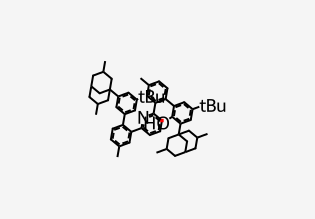 Cc1ccc(-c2cc(C(C)(C)C)cc(C34CC(C)CC(CC(C)C3)C4)c2)c(-c2cccc(-c3cc(C)ccc3-c3cc(C(C)(C)C)cc(C45CC(C)CC(CC(C)C4)C5)c3O)n2)c1